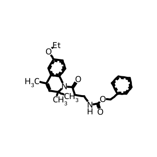 CCOc1ccc2c(c1)C(C)=CC(C)(C)N2C(=O)CCNC(=O)OCc1ccccc1